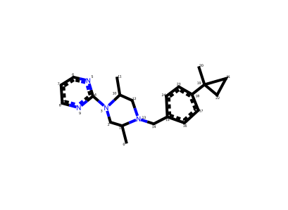 CC1CN(c2ncccn2)C(C)CN1Cc1ccc(C2(C)CC2)cc1